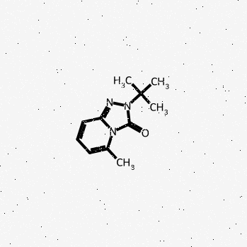 Cc1cccc2nn(C(C)(C)C)c(=O)n12